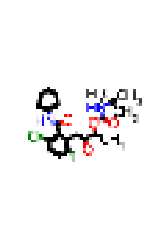 C[C@H](OC(=O)NC(C)(C)C)C(=O)Cc1c(F)ccc(Cl)c1C(=O)Nc1ccccc1